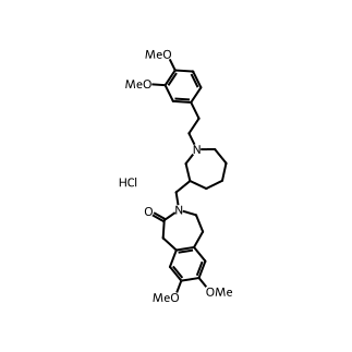 COc1ccc(CCN2CCCCC(CN3CCc4cc(OC)c(OC)cc4CC3=O)C2)cc1OC.Cl